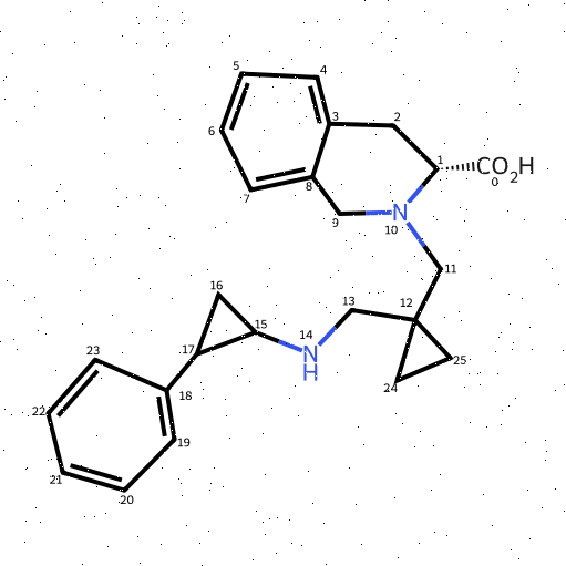 O=C(O)[C@H]1Cc2ccccc2CN1CC1(CNC2CC2c2ccccc2)CC1